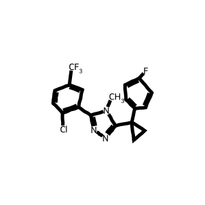 Cn1c(-c2cc(C(F)(F)F)ccc2Cl)nnc1C1(c2ccc(F)cc2)CC1